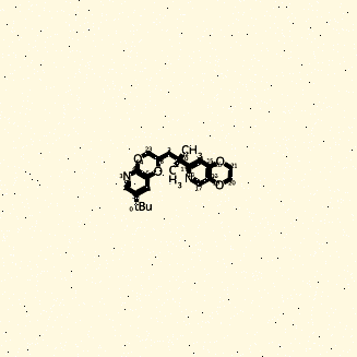 CC(C)(C)c1cnc2c(c1)OC(CC(C)(C)c1cc3c(cn1)OCCO3)CO2